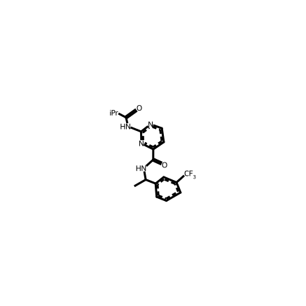 CC(C)C(=O)Nc1nccc(C(=O)NC(C)c2cccc(C(F)(F)F)c2)n1